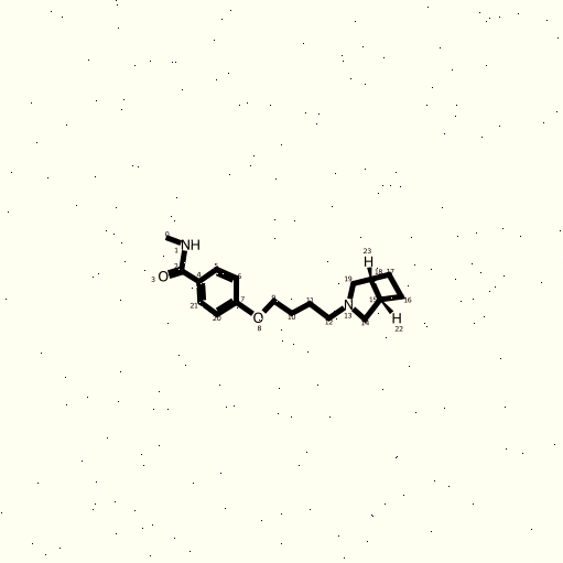 CNC(=O)c1ccc(OCCCCN2C[C@H]3CC[C@H]3C2)cc1